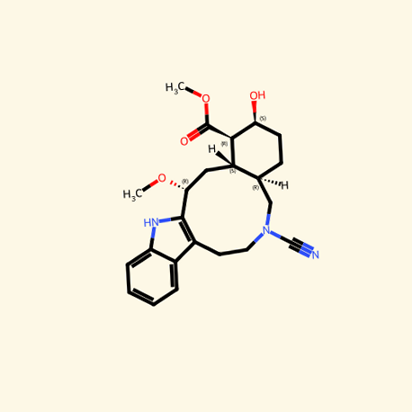 COC(=O)[C@@H]1[C@H]2C[C@@H](OC)c3[nH]c4ccccc4c3CCN(C#N)C[C@@H]2CC[C@@H]1O